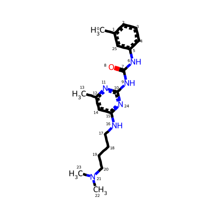 Cc1cccc(NC(=O)Nc2nc(C)cc(NCCCCN(C)C)n2)c1